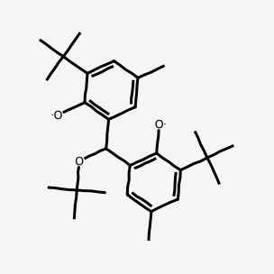 Cc1cc(C(OC(C)(C)C)c2cc(C)cc(C(C)(C)C)c2[O])c([O])c(C(C)(C)C)c1